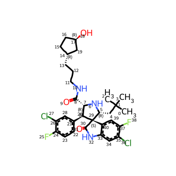 CC(C)(C)C[C@H]1N[C@@H](C(=O)NCCC[C@@H]2CC[C@@H](O)C2)[C@H](c2ccc(F)c(Cl)c2)[C@@]12C(=O)Nc1cc(Cl)c(F)cc12